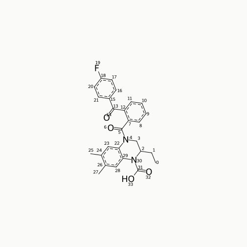 CCC1CN(C(=O)c2ccccc2C(=O)c2ccc(F)cc2)c2cc(C)c(C)cc2N1C(=O)O